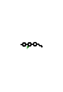 C=CCCC1C=CC(c2ccc(-c3ccc(C)cc3)c(F)c2)CC1